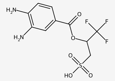 Nc1ccc(C(=O)OC(CS(=O)(=O)O)C(F)(F)F)cc1N